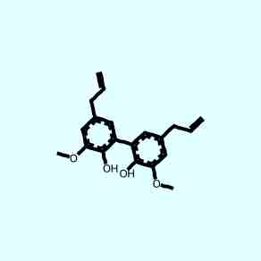 C=CCc1cc(OC)c(O)c(-c2cc(CC=C)cc(OC)c2O)c1